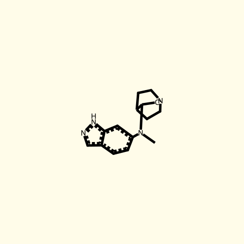 CN(c1ccc2cn[nH]c2c1)C1CN2CCC1CC2